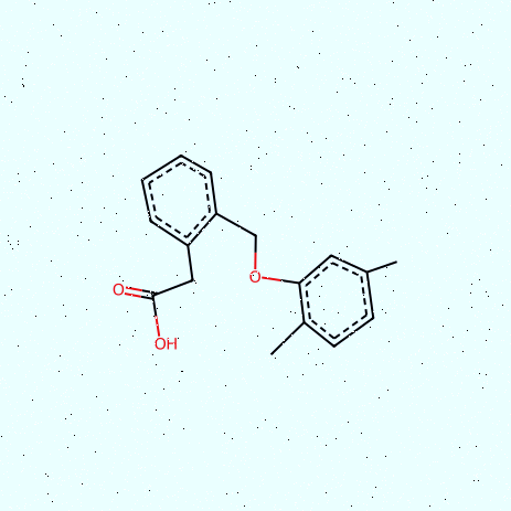 Cc1ccc(C)c(OCc2ccccc2CC(=O)O)c1